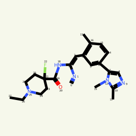 C=N/C(=C\c1cc(-c2cnc(C)n2C)ccc1C)NC(=O)C1(F)CCN(CC)CC1